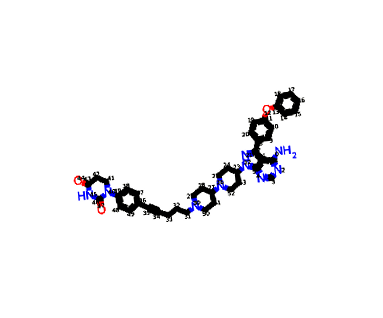 Nc1ncnc2c1c(-c1ccc(Oc3ccccc3)cc1)nn2C1CCN(C2CCN(CCCC#Cc3ccc(N4CCC(=O)NC4=O)cc3)CC2)CC1